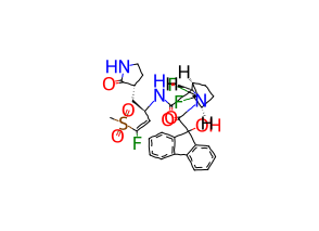 CS(=O)(=O)/C(F)=C\[C@@H](C[C@H]1CCNC1=O)NC(=O)[C@@H]1[C@H]2CC[C@H](CC2(F)F)N1C(=O)C1(O)c2ccccc2-c2ccccc21